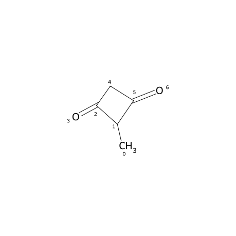 CC1C(=O)CC1=O